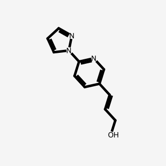 OCC=Cc1ccc(-n2cccn2)nc1